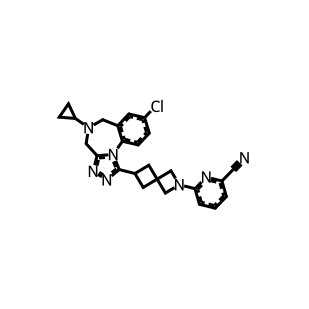 N#Cc1cccc(N2CC3(CC(c4nnc5n4-c4ccc(Cl)cc4CN(C4CC4)C5)C3)C2)n1